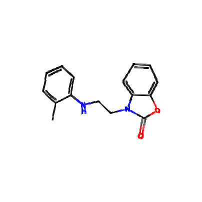 Cc1ccccc1NCCn1c(=O)oc2ccccc21